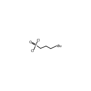 CCCCCCCP(=O)(Cl)Cl